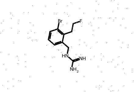 N=C(N)NCc1cccc(Br)c1CCF